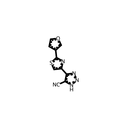 N#Cc1[nH]nnc1-c1csc(-c2ccoc2)n1